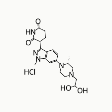 C[C@@H]1CN(CC(O)O)CCN1c1ccc2c(C3CCC(=O)NC3=O)nn(C)c2c1.Cl